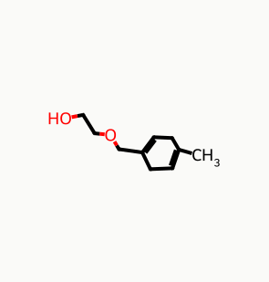 CC1=CCC(COCCO)=CC1